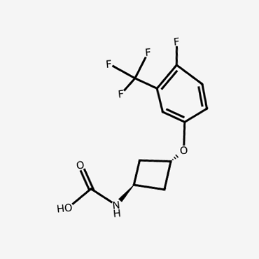 O=C(O)N[C@H]1C[C@H](Oc2ccc(F)c(C(F)(F)F)c2)C1